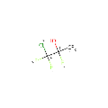 OC(F)(C(F)(F)F)C(F)(F)Cl